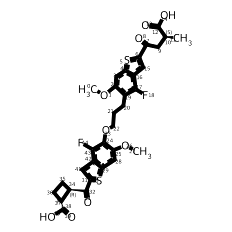 COc1cc2sc(C(=O)C[C@H](C)C(=O)O)cc2c(F)c1CCCOc1c(OC)cc2sc(C(=O)[C@@H]3CC[C@H]3C(=O)O)cc2c1F